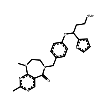 CNCCC(Oc1ccc(CN2CCN(C)c3nc(C)ncc3C2=O)cc1)c1cccs1